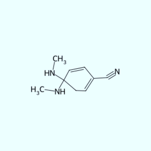 CNC1(NC)C=CC(C#N)=CC1